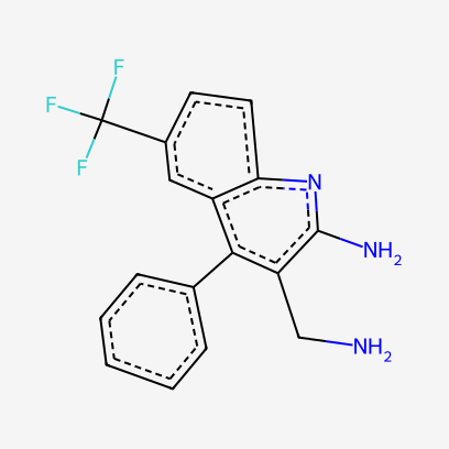 NCc1c(N)nc2ccc(C(F)(F)F)cc2c1-c1ccccc1